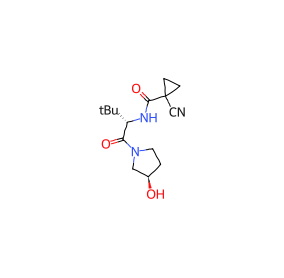 CC(C)(C)[C@H](NC(=O)C1(C#N)CC1)C(=O)N1CC[C@@H](O)C1